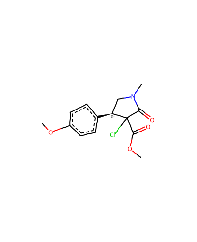 COC(=O)C1(Cl)C(=O)N(C)C[C@@H]1c1ccc(OC)cc1